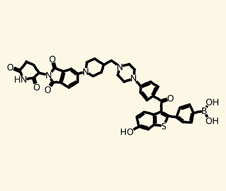 O=C1CCC(N2C(=O)c3ccc(N4CCC(CN5CCN(c6ccc(C(=O)c7c(-c8ccc(B(O)O)cc8)sc8cc(O)ccc78)cc6)CC5)CC4)cc3C2=O)C(=O)N1